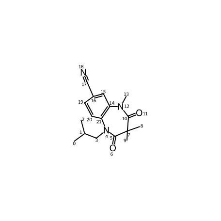 CC(C)CN1C(=O)C(C)(C)C(=O)N(C)c2cc(C#N)ccc21